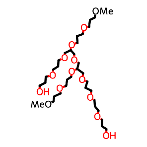 COCCCOCCCOC(COCCCOCCCO)COCC(COCCCOCCCOCCCO)OCCCOCCCOC